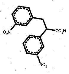 O=C(O)C(Cc1cccc([N+](=O)[O-])c1)c1cccc([N+](=O)[O-])c1